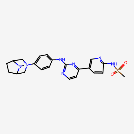 CN1C2CCC1CN(c1ccc(Nc3nccc(-c4ccc(NS(C)(=O)=O)nc4)n3)cc1)C2